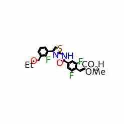 CCOCc1cccc(-c2csc(NC(=O)c3cc(F)c(C=C(OC)C(=O)O)c(F)c3)n2)c1F